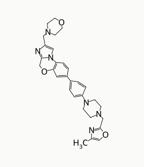 Cc1coc(CN2CCN(c3ccc(-c4ccc5c(c4)OCc4nc(CN6CCOCC6)cn4-5)cc3)CC2)n1